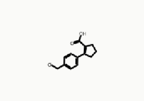 O=C(O)C1=C(c2ccc(CCl)cc2)CCC1